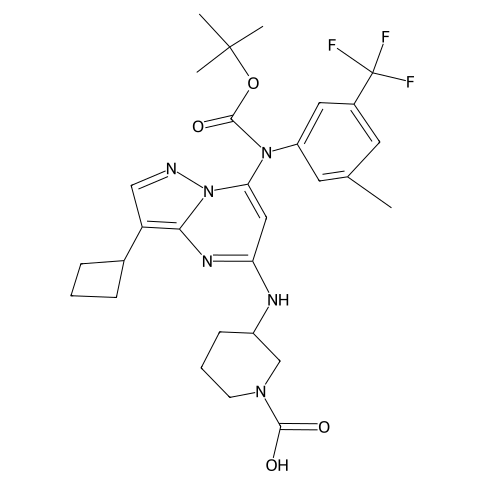 Cc1cc(N(C(=O)OC(C)(C)C)c2cc(NC3CCCN(C(=O)O)C3)nc3c(C4CCC4)cnn23)cc(C(F)(F)F)c1